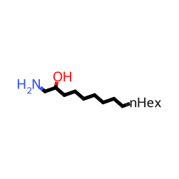 CCCCCCCCCCCCCC(O)CN